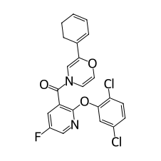 O=C(c1cc(F)cnc1Oc1cc(Cl)ccc1Cl)N1C=COC(C2=CC=CCC2)=C1